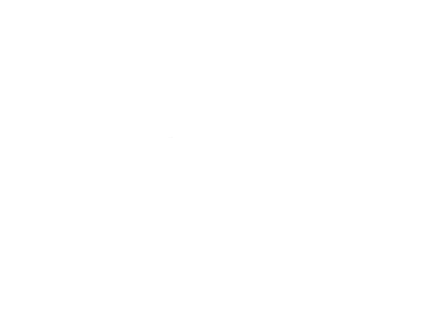 CCC(OCc1ccccc1)OC(C)=O